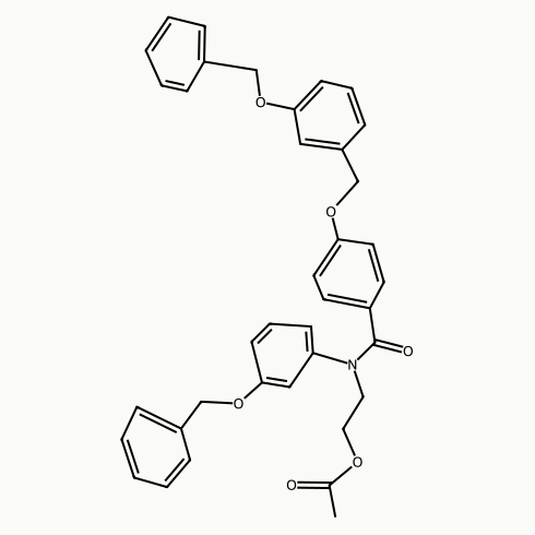 CC(=O)OCCN(C(=O)c1ccc(OCc2cccc(OCc3ccccc3)c2)cc1)c1cccc(OCc2ccccc2)c1